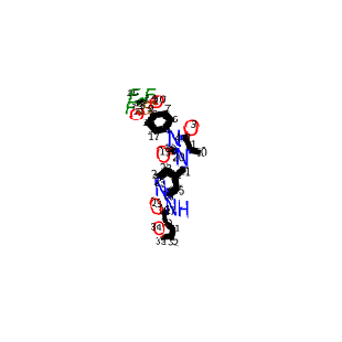 CC1C(=O)N(c2ccc(S(=O)(=O)C(F)(F)F)cc2)C(=O)N1Cc1ccnc(NC(=O)c2ccco2)c1